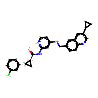 O=C(Nc1cc(NCc2ccc3ncc(C4CC4)cc3c2)ccn1)[C@H]1C[C@@H]1c1cccc(Cl)c1